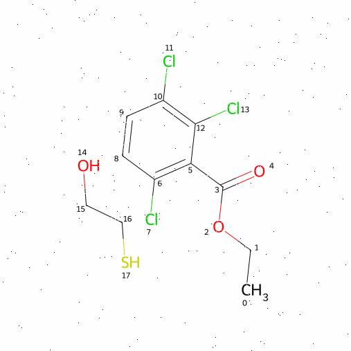 CCOC(=O)c1c(Cl)ccc(Cl)c1Cl.OCCS